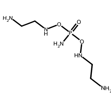 NCCNOP(N)(=O)ONCCN